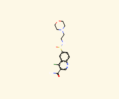 NC(=O)c1cnc2ccc([S+]([O-])NCCN3CCOCC3)cc2c1Cl